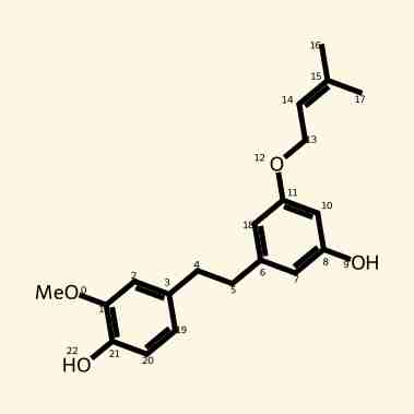 COc1cc(CCc2cc(O)cc(OCC=C(C)C)c2)ccc1O